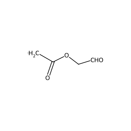 [CH2]C(=O)OCC=O